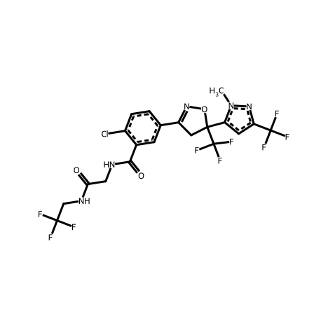 Cn1nc(C(F)(F)F)cc1C1(C(F)(F)F)CC(c2ccc(Cl)c(C(=O)NCC(=O)NCC(F)(F)F)c2)=NO1